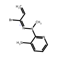 C=C/C(Br)=N\N(C)c1ncccc1[SiH3]